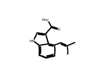 CC(C)=Cc1cccc2[nH]cc(C(=O)C=O)c12